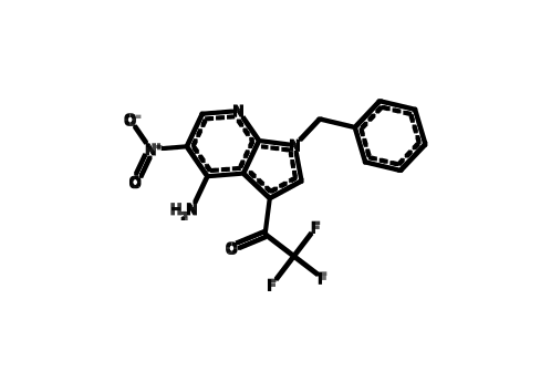 Nc1c([N+](=O)[O-])cnc2c1c(C(=O)C(F)(F)F)cn2Cc1ccccc1